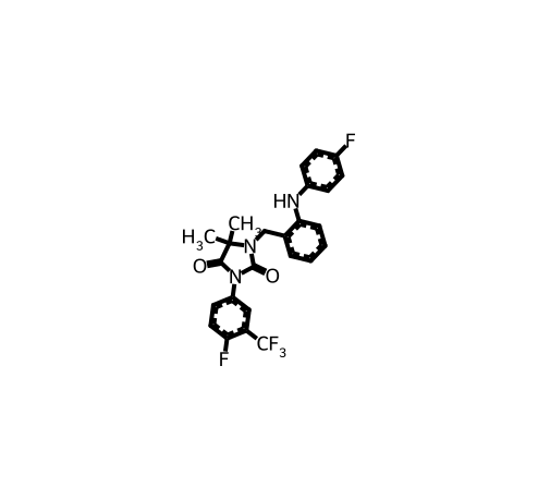 CC1(C)C(=O)N(c2ccc(F)c(C(F)(F)F)c2)C(=O)N1Cc1ccccc1Nc1ccc(F)cc1